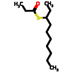 CCCCCCCC(CC)SC(=O)CC